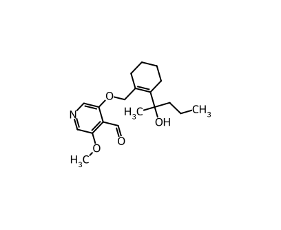 CCCC(C)(O)C1=C(COc2cncc(OC)c2C=O)CCCC1